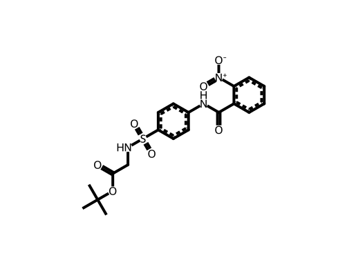 CC(C)(C)OC(=O)CNS(=O)(=O)c1ccc(NC(=O)c2ccccc2[N+](=O)[O-])cc1